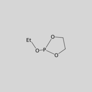 [CH2]COP1OCCO1